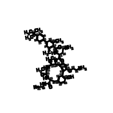 Cc1cc(-c2ccc(C(C)(C)C)cc2)cc(C)c1C(=O)N[C@@H](CCN)C(=O)N(C)[C@@H]1C(=O)N[C@@H](C)C(=O)N[C@H](C(=O)NCC#N)Cc2ccc(O)c(c2)-c2cc1ccc2OCCN